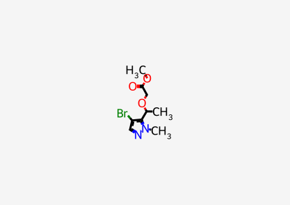 COC(=O)COC(C)c1c(Br)cnn1C